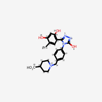 CC(C)c1cc(-c2nnc(O)n2-c2ccc(CN3CCC(C(=O)O)CC3)cc2)c(O)cc1O